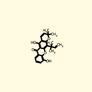 C=CC(C)(C)c1c2c(c(O)c3c(=O)c4cccc(O)c4oc13)C=CC(C)(C)O2